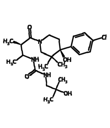 CC(NC(=O)NCC(C)(C)O)[C@@H](C)C(=O)N1CC[C@](O)(c2ccc(Cl)cc2)C(C)(C)C1